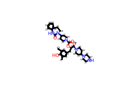 Cc1cc(CC(OC(=O)N2CCC(N3CCc4ccccc4NC3=O)CC2)C(=O)N2CCC(N3CCNCC3)CC2)cc(C)c1O